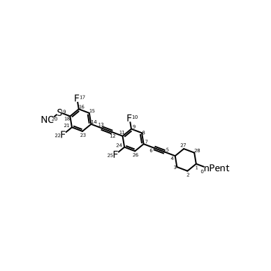 CCCCCC1CCC(C#Cc2cc(F)c(C#Cc3cc(F)c(SC#N)c(F)c3)c(F)c2)CC1